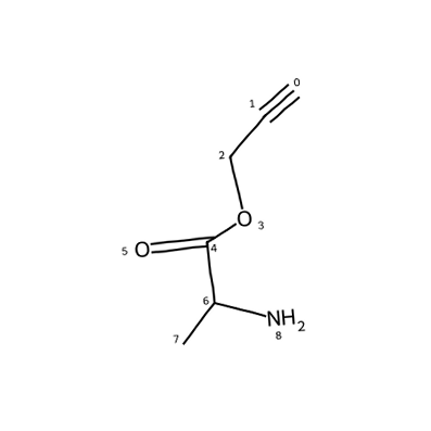 C#CCOC(=O)C(C)N